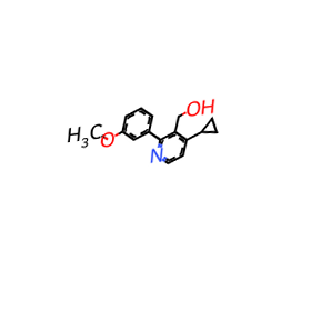 COc1cccc(-c2nccc(C3CC3)c2CO)c1